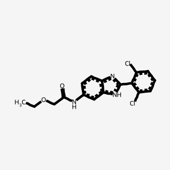 CCOCC(=O)Nc1ccc2nc(-c3c(Cl)cccc3Cl)[nH]c2c1